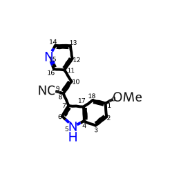 COc1ccc2[nH]cc(C(C#N)=Cc3cccnc3)c2c1